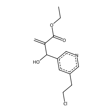 C=C(C(=O)OCC)C(O)c1cncc(CCCl)c1